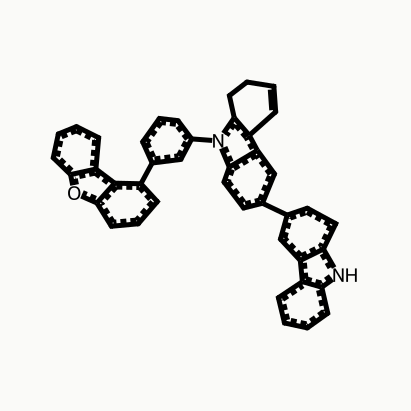 C1=Cc2c(n(-c3cccc(-c4cccc5oc6ccccc6c45)c3)c3ccc(-c4ccc5[nH]c6ccccc6c5c4)cc23)CC1